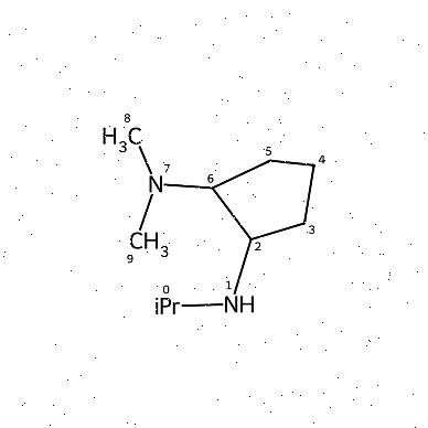 CC(C)NC1CCCC1N(C)C